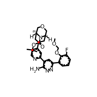 COCOc1c(F)cccc1-c1cc(-c2cc(C3C[C@H]4COC[C@@H](C3)N4C(=O)OC(C)(C)C)ccn2)c(N)nn1